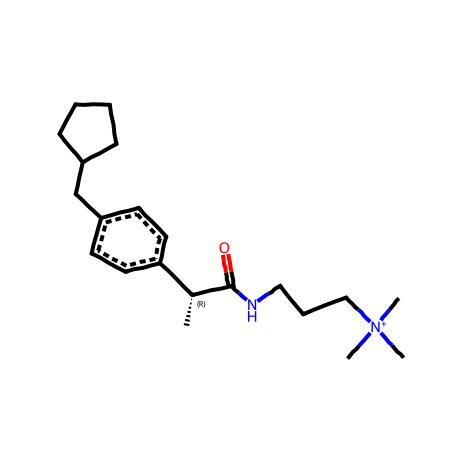 C[C@@H](C(=O)NCCC[N+](C)(C)C)c1ccc(CC2CCCC2)cc1